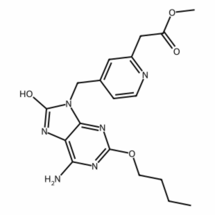 CCCCOc1nc(N)c2nc(O)n(Cc3ccnc(CC(=O)OC)c3)c2n1